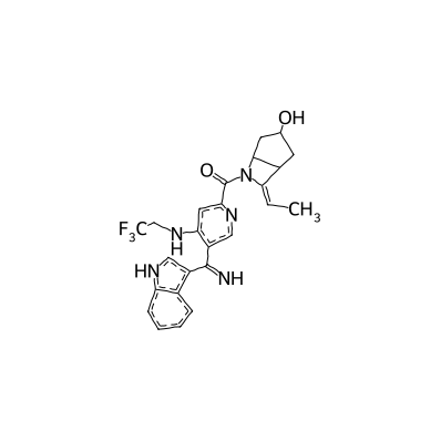 C/C=C1\C2CC(O)CC2N1C(=O)c1cc(NCC(F)(F)F)c(C(=N)c2c[nH]c3ccccc23)cn1